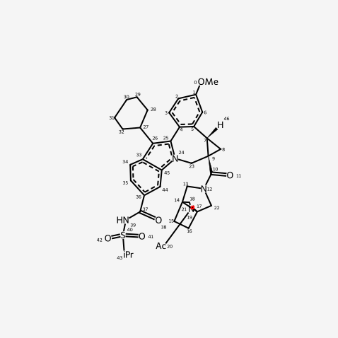 COc1ccc2c(c1)[C@@H]1C[C@]1(C(=O)N1CC34CCC3(CN(C(C)=O)C4)C1)Cn1c-2c(C2CCCCC2)c2ccc(C(=O)NS(=O)(=O)C(C)C)cc21